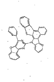 c1ccc(-c2nc(-n3c4cccnc4c4c5ccccc5c5c6ccccc6sc5c43)nc3c2oc2ccccc23)cc1